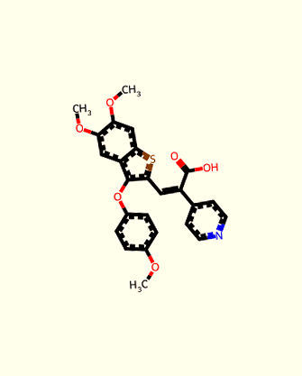 COc1ccc(Oc2c(C=C(C(=O)O)c3ccncc3)sc3cc(OC)c(OC)cc23)cc1